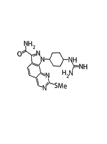 CSc1ncc2ccc3c(C(N)=O)nn(C4CCC(NC(=N)N)CC4)c3c2n1